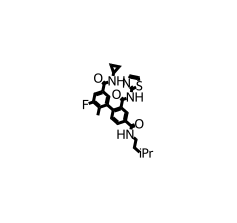 Cc1c(F)cc(C(=O)NC2CC2)cc1-c1ccc(C(=O)NCCC(C)C)cc1C(=O)Nc1nccs1